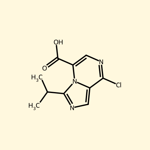 CC(C)c1ncc2c(Cl)ncc(C(=O)O)n12